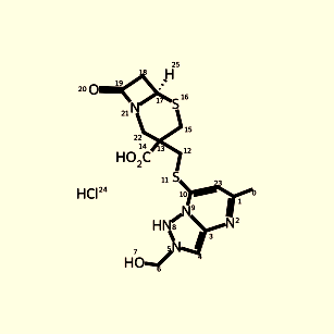 CC1=NC2=CN(CO)NN2C(SCC2(C(=O)O)CS[C@@H]3CC(=O)N3C2)=C1.Cl